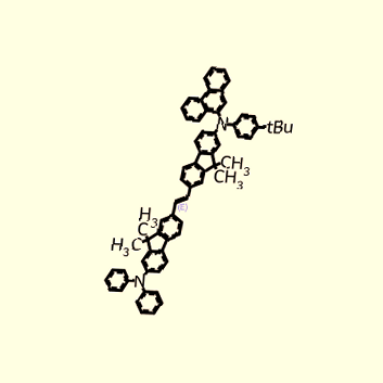 CC(C)(C)c1ccc(N(c2ccc3c(c2)C(C)(C)c2cc(/C=C/c4ccc5c(c4)C(C)(C)c4cc(N(c6ccccc6)c6ccccc6)ccc4-5)ccc2-3)c2cc3ccccc3c3ccccc23)cc1